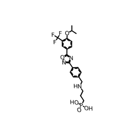 CC(C)Oc1ccc(-c2nc(-c3ccc(CNCCCP(=O)(O)O)cc3)no2)cc1C(F)(F)F